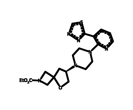 CCOC(=O)N1CC2(C[C@@H](N3CCN(c4ncccc4-c4nncs4)CC3)CO2)C1